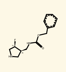 O=C(NC[C@H]1CNC[C@H]1F)OCc1ccccc1